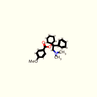 COc1ccc(C(=O)OC2(C(CN(C)C)c3cc[c]cc3)CCCCC2)cc1